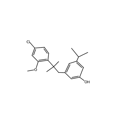 COc1cc(Cl)ccc1C(C)(C)Cc1cc(O)cc(C(C)C)c1